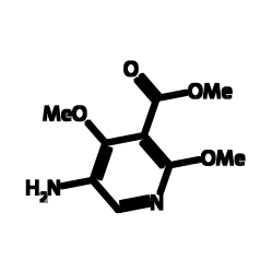 COC(=O)c1c(OC)ncc(N)c1OC